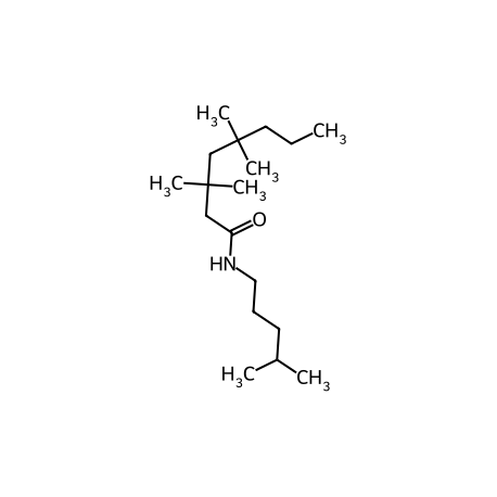 CCCC(C)(C)CC(C)(C)CC(=O)NCCCC(C)C